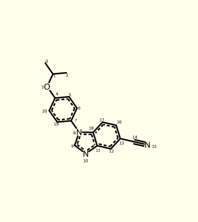 CC(C)Oc1ccc(-n2cnc3cc(C#N)ccc32)cc1